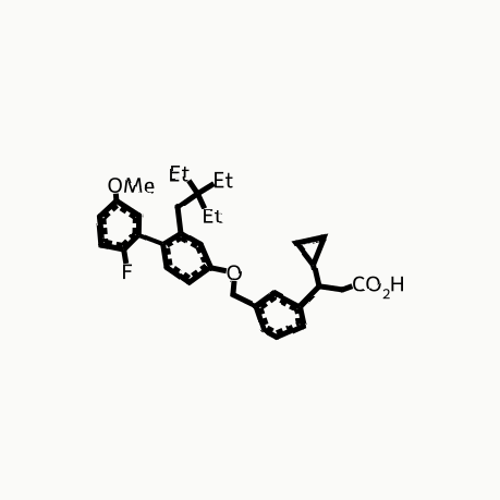 CCC(CC)(CC)Cc1cc(OCc2cccc(C(CC(=O)O)C3CC3)c2)ccc1-c1cc(OC)ccc1F